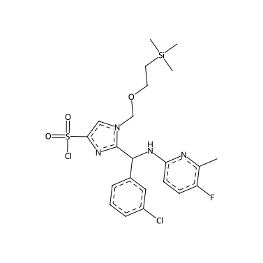 Cc1nc(NC(c2cccc(Cl)c2)c2nc(S(=O)(=O)Cl)cn2COCC[Si](C)(C)C)ccc1F